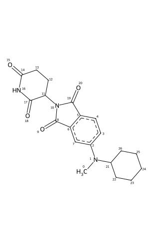 CN(c1ccc2c(c1)C(=O)N(C1CCC(=O)NC1=O)C2=O)C1CCCCC1